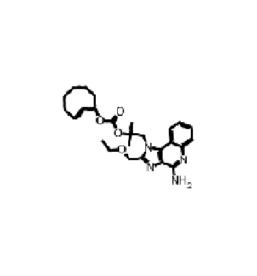 CCOCc1nc2c(N)nc3ccccc3c2n1CC(C)(C)OC(=O)OC1/C=C/CCCCC1